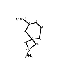 CNC1CCCC2(C1)CN(P)C2